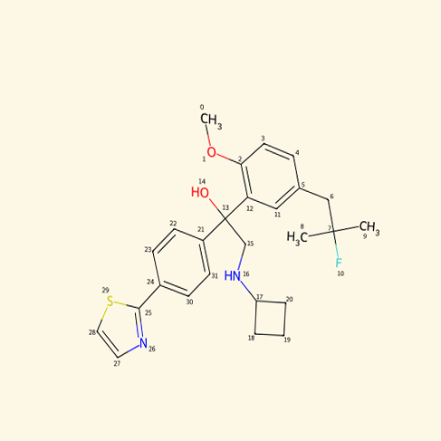 COc1ccc(CC(C)(C)F)cc1C(O)(CNC1CCC1)c1ccc(-c2nccs2)cc1